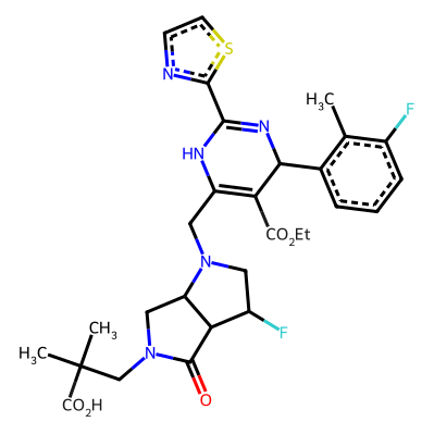 CCOC(=O)C1=C(CN2CC(F)C3C(=O)N(CC(C)(C)C(=O)O)CC32)NC(c2nccs2)=NC1c1cccc(F)c1C